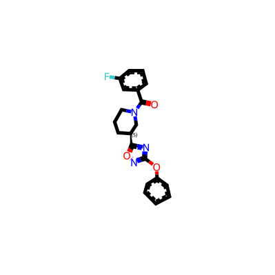 O=C(c1cccc(F)c1)N1CCC[C@H](c2nc(Oc3ccccc3)no2)C1